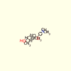 CN(C)c1ccc(C(=O)[C@H]2CC[C@H]3[C@@H]4CC[C@@H]5C[C@](C)(O)CC[C@@H]5C4CC[C@]23C)cc1